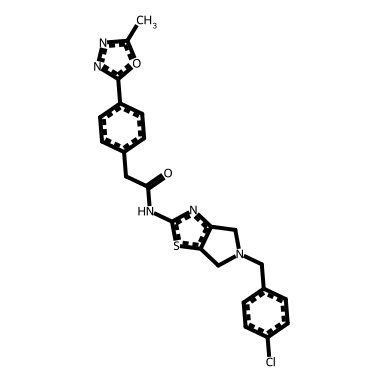 Cc1nnc(-c2ccc(CC(=O)Nc3nc4c(s3)CN(Cc3ccc(Cl)cc3)C4)cc2)o1